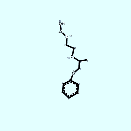 CC(COc1ccccc1)OCCOSO